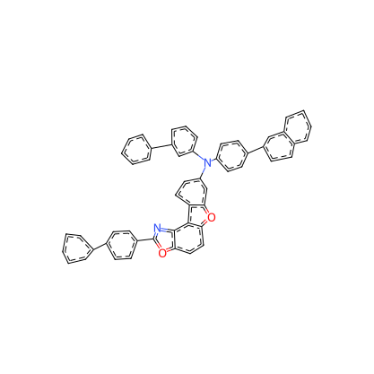 c1ccc(-c2ccc(-c3nc4c(ccc5oc6cc(N(c7ccc(-c8ccc9ccccc9c8)cc7)c7cccc(-c8ccccc8)c7)ccc6c54)o3)cc2)cc1